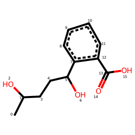 CC(O)CCC(O)c1ccccc1C(=O)O